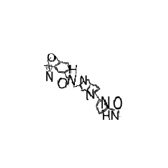 CNC(=O)c1cccc(-c2ccc3cnc(CNC(=O)c4ccc5c(c4)[C@](C)(C#N)COC5)cc3n2)n1